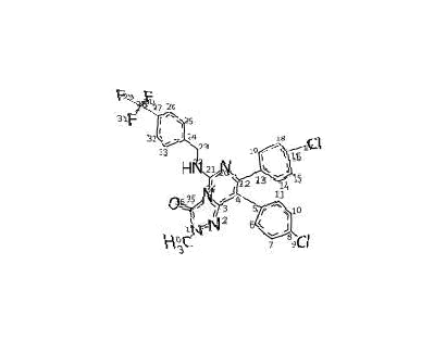 Cn1nc2c(-c3ccc(Cl)cc3)c(-c3ccc(Cl)cc3)nc(NCc3ccc(C(F)(F)F)cc3)n2c1=O